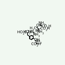 CC(C)[C@H](N)C(=O)O.C[C@@H](O)[C@H](N)C(=O)O.NCC(=O)O.NCC(=O)O.N[C@@H](Cc1ccc(O)cc1)C(=O)O